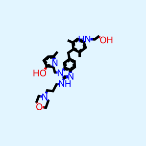 Cc1ccc(O)c(Cn2c(NCCCN3CCOCC3)nc3ccc(Cc4c(C)cc(NCCO)cc4C)cc32)n1